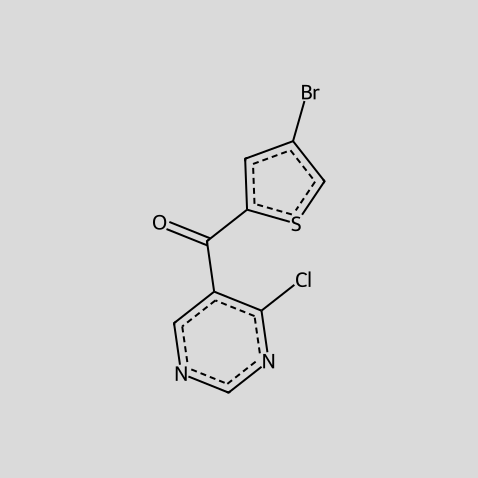 O=C(c1cc(Br)cs1)c1cncnc1Cl